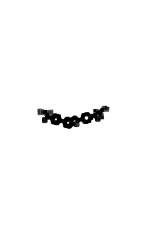 CCNC(=O)c1ccc(-c2ccc3c(c2)CC(C2CCN(c4nc(C(C)C)no4)CC2)O3)cc1